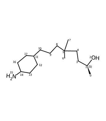 C[C@H](O)CCC(C)(C)CCCC1CCC(N)CC1